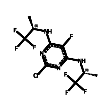 C[C@@H](Nc1nc(Cl)nc(N[C@H](C)C(F)(F)F)c1F)C(F)(F)F